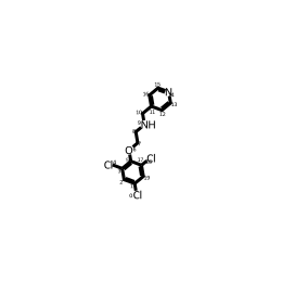 Clc1cc(Cl)c(OCCNCc2ccncc2)c(Cl)c1